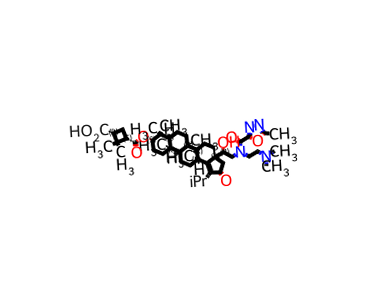 Cc1nnc(C(=O)N(CCN(C)C)C[C@H](O)[C@@]23CC[C@]4(C)[C@H](CC[C@@H]5[C@@]6(C)CC[C@H](OC(=O)[C@H]7C[C@@H](C(=O)O)C7(C)C)C(C)(C)[C@@H]6CC[C@]54C)C2=C(C(C)C)C(=O)C3)o1